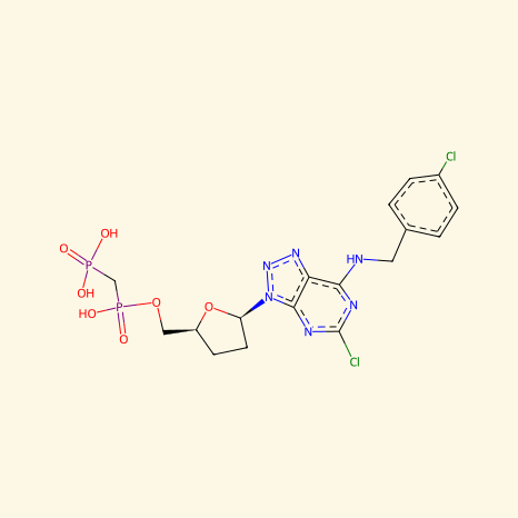 O=P(O)(O)CP(=O)(O)OC[C@@H]1CC[C@H](n2nnc3c(NCc4ccc(Cl)cc4)nc(Cl)nc32)O1